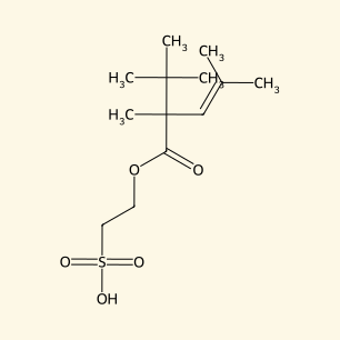 CC(C)=CC(C)(C(=O)OCCS(=O)(=O)O)C(C)(C)C